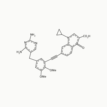 COc1cc(Cc2cnc(N)nc2N)cc(C#Cc2ccc3c(=O)c(C(=O)O)cn(C4CC4)c3c2)c1OC